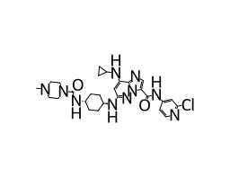 CN1CCN(C(=O)N[C@H]2CC[C@H](Nc3cc(NC4CC4)c4ncc(C(=O)Nc5ccnc(Cl)c5)n4n3)CC2)CC1